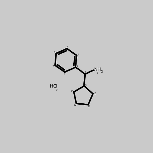 Cl.NC(c1ccccc1)C1CCCC1